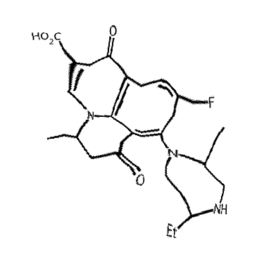 CCC1CN(c2c(F)cc3c(=O)c(C(=O)O)cn4c3c2C(=O)CC4C)C(C)CN1